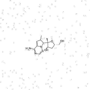 CC1C=C2C(N)=NC=NN2C1[C@]1(C)O[C@H](CO)C[C@H]1O